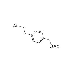 CC(=O)CCc1ccc(COC(C)=O)cc1